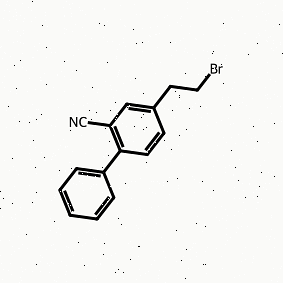 N#Cc1cc(CCBr)ccc1-c1ccccc1